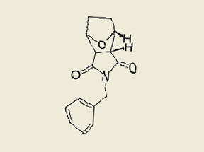 O=C1C2C3CC[C@@H](O3)[C@@H]2C(=O)N1Cc1ccccc1